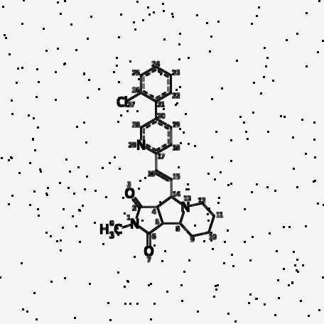 CN1C(=O)C2C(C1=O)C1CCCCN1C2C=Cc1ccc(-c2ccccc2Cl)cn1